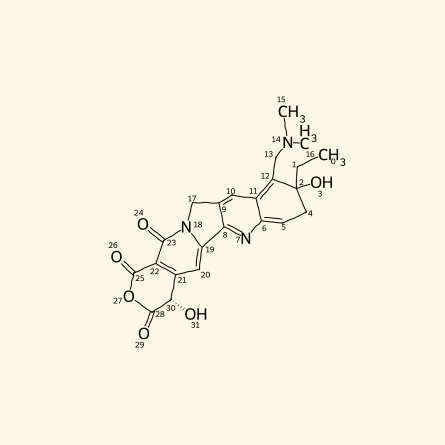 CCC1(O)CC=c2nc3c(cc2=C1CN(C)C)Cn1c-3cc2c(c1=O)C(=O)OC(=O)[C@H]2O